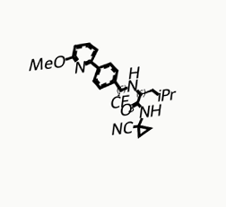 COc1cccc(-c2ccc([C@H](N[C@@H](CC(C)C)C(=O)NC3(C#N)CC3)C(F)(F)F)cc2)n1